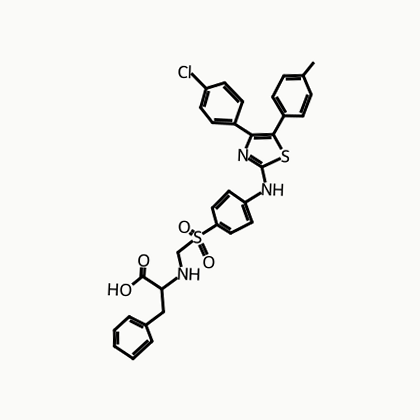 Cc1ccc(-c2sc(Nc3ccc(S(=O)(=O)CNC(Cc4ccccc4)C(=O)O)cc3)nc2-c2ccc(Cl)cc2)cc1